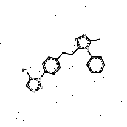 Cc1nnc(CCc2ccc(-n3nncc3C(C)C)cc2)n1-c1ccccc1